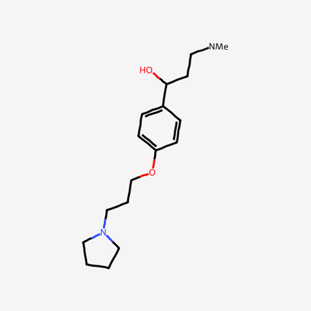 CNCCC(O)c1ccc(OCCCN2CCCC2)cc1